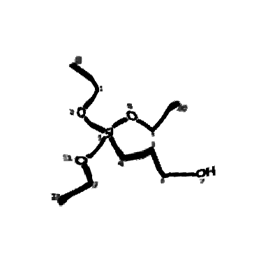 CCO[Si](CCCO)(OCC)OCC